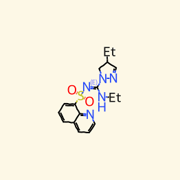 CCN/C(=N\S(=O)(=O)c1cccc2cccnc12)N1CC(CC)C=N1